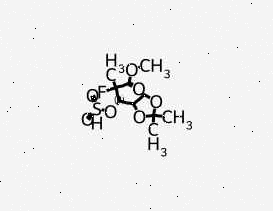 COC(=O)C(C)(F)[C@H](O[SH](=O)=O)C1COC(C)(C)O1